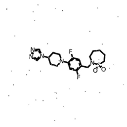 O=S1(=O)CCCCCN1Cc1cc(F)c(N2CCC(n3cnnc3)CC2)cc1F